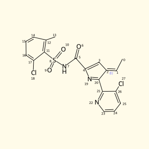 C/C=C1\C=C(C(=O)NS(=O)(=O)c2c(C)cccc2Cl)N=C1c1ncccc1Cl